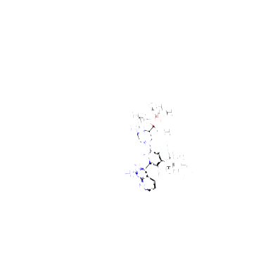 CC(C)C(C)(O[Si](C)(C)C)C1CN(c2nc(-c3n[nH]c4ncccc34)c(F)c([Si](C)(C)C(C)(C)C)c2Cl)CCN1